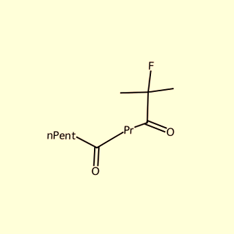 CCCCC[C](=O)[Pr][C](=O)C(C)(C)F